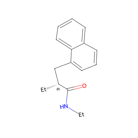 CCNC(=O)[C@H](CC)Cc1cccc2ccccc12